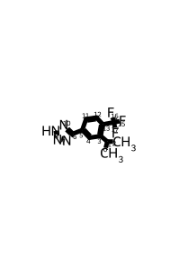 CC(C)c1cc(-c2nn[nH]n2)ccc1C(F)(F)F